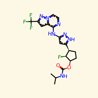 CC(C)NC(=O)O[C@@H]1CC[C@H](c2cc(Nc3nccn4nc(C(F)(F)F)cc34)n[nH]2)[C@@H]1F